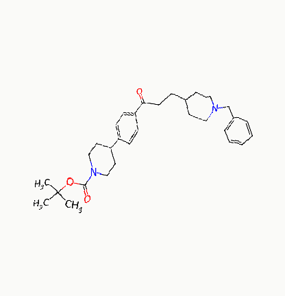 CC(C)(C)OC(=O)N1CCC(c2ccc(C(=O)CCC3CCN(Cc4ccccc4)CC3)cc2)CC1